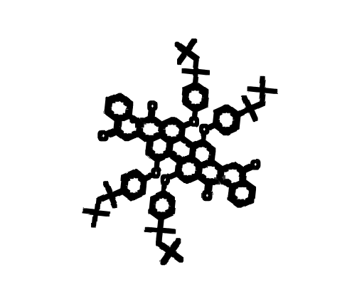 CC(C)(C)CC(C)(C)c1ccc(Oc2cc3c(=O)n4c5ccccc5c(=O)cc4c4cc(Oc5ccc(C(C)(C)CC(C)(C)C)cc5)c5c6c(Oc7ccc(C(C)(C)CC(C)(C)C)cc7)cc7c(=O)n8c9ccccc9c(=O)cc8c8cc(Oc9ccc(C(C)(C)CC(C)(C)C)cc9)c(c2c5c34)c6c78)cc1